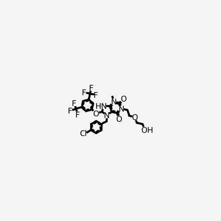 Cn1c2c(c(=O)n(CCOCCO)c1=O)N(Cc1ccc(Cl)cc1)C(Oc1cc(C(F)(F)F)cc(C(F)(F)F)c1)N2